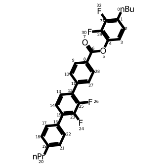 CCCCc1ccc(OC(=O)c2ccc(-c3ccc(-c4ccc(CCC)cc4)c(F)c3F)cc2)c(F)c1F